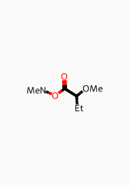 CCC(OC)C(=O)ONC